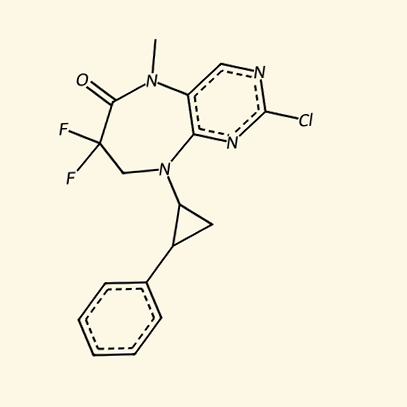 CN1C(=O)C(F)(F)CN(C2CC2c2ccccc2)c2nc(Cl)ncc21